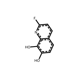 Oc1ccc2ccc(F)nc2c1O